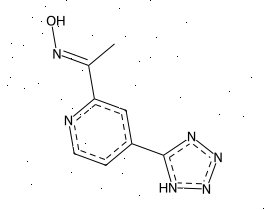 CC(=NO)c1cc(-c2nnn[nH]2)ccn1